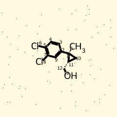 C[C@]1(c2ccc(Cl)c(Cl)c2)C[C@@H]1CO